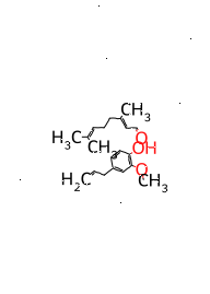 C=CCc1ccc(O)c(OC)c1.CC(C)=CCCC(C)=CC=O